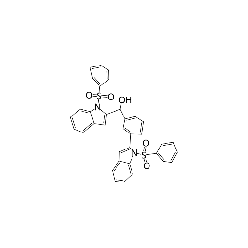 O=S(=O)(c1ccccc1)n1c(-c2cccc(C(O)c3cc4ccccc4n3S(=O)(=O)c3ccccc3)c2)cc2ccccc21